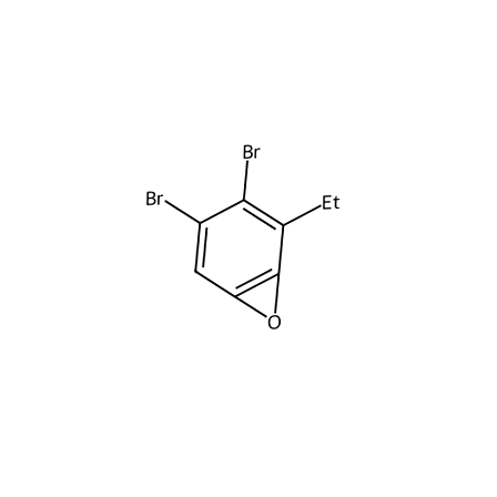 CCc1c(Br)c(Br)cc2c1O2